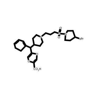 CCCC1CCN(S(=O)(=O)CCCN2CCC(C(C3=CC=CCC3)C3=COC(C(=O)O)=CO3)CC2)CC1